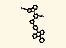 N#Cc1cc(-c2cccc(-c3ccc(-c4c5ccccc5c(-c5ccccc5)c5ccccc45)cc3)c2)cc(-n2c3ccccc3c3cc(C#N)ccc32)c1